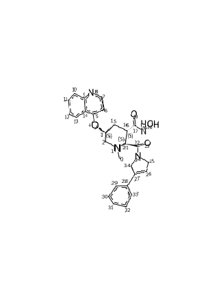 CN1C[C@@H](Oc2ccnc3ccccc23)C[C@H](C(=O)NO)[C@H]1C(=O)N1CC=C(c2ccccc2)C1